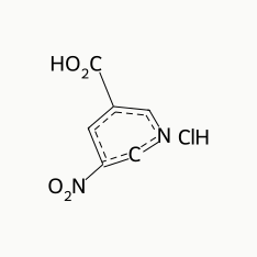 Cl.O=C(O)c1cncc([N+](=O)[O-])c1